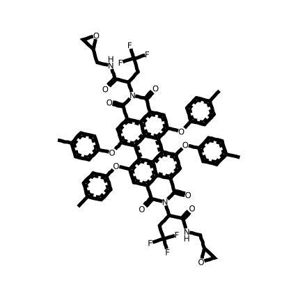 Cc1ccc(Oc2cc3c4c(cc(Oc5ccc(C)cc5)c5c6c(Oc7ccc(C)cc7)cc7c8c(cc(Oc9ccc(C)cc9)c(c2c45)c86)C(=O)N(C(CC(F)(F)F)C(=O)NCC2CO2)C7=O)C(=O)N(C(CC(F)(F)F)C(=O)NCC2CO2)C3=O)cc1